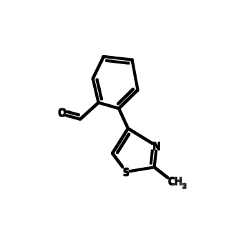 Cc1nc(-c2ccccc2C=O)cs1